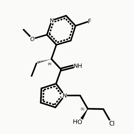 CC[C@@H](C(=N)c1cccn1C[C@H](O)CCl)c1cc(F)cnc1OC